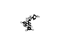 CC(C)(C)N1CCC(n2cc(C(Nc3cc(Cl)c4ncc(C#N)c(Nc5cc(Cl)cc(Cl)c5)c4c3)c3ccc(Cl)cc3)nn2)CC1